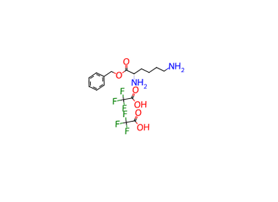 NCCCC[C@H](N)C(=O)OCc1ccccc1.O=C(O)C(F)(F)F.O=C(O)C(F)(F)F